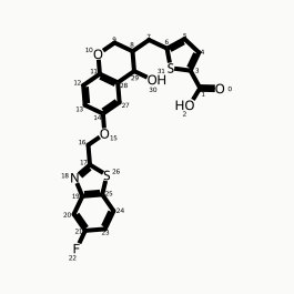 O=C(O)c1ccc(CC2COc3ccc(OCc4nc5cc(F)ccc5s4)cc3C2O)s1